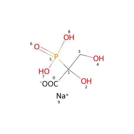 O=C([O-])C(O)(CO)P(=O)(O)O.[Na+]